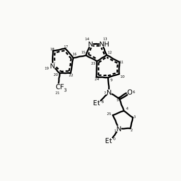 CCN1CCC(C(=O)N(CC)c2ccc3[nH]nc(-c4ccnc(C(F)(F)F)c4)c3c2)C1